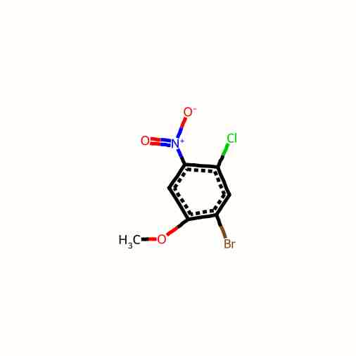 COc1cc([N+](=O)[O-])c(Cl)cc1Br